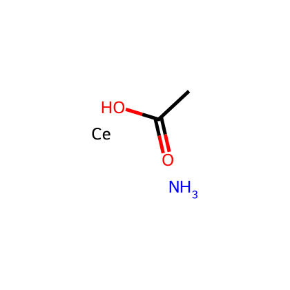 CC(=O)O.N.[Ce]